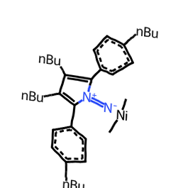 CCCCC1=C(c2ccc(CCCC)cc2)[N+](=[N-])C(c2ccc(CCCC)cc2)=C1CCCC.[CH3][Ni][CH3]